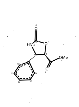 COC(=O)[C@@H]1OC(=O)N[C@H]1c1ccccc1